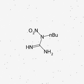 CCCCN(C(=N)N)[N+](=O)[O-]